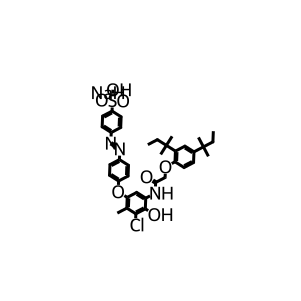 CCC(C)(C)c1ccc(OCC(=O)Nc2cc(Oc3ccc(/N=N/c4ccc(S(=O)(=O)O)cc4)cc3)c(C)c(Cl)c2O)c(C(C)(C)CC)c1.[NaH]